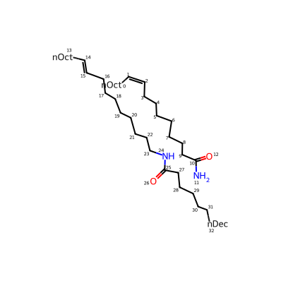 CCCCCCCC/C=C\CCCCCCCC(N)=O.CCCCCCCCC=CCCCCCCCCNC(=O)CCCCCCCCCCCCCCC